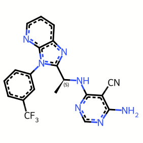 C[C@H](Nc1ncnc(N)c1C#N)c1nc2cccnc2n1-c1cccc(C(F)(F)F)c1